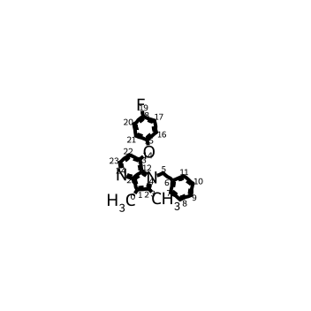 Cc1c(C)n(Cc2ccccc2)c2c(Oc3ccc(F)cc3)ccnc12